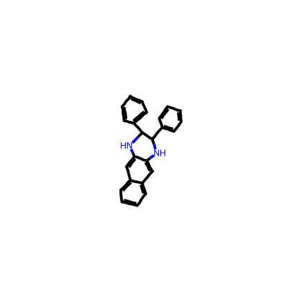 c1ccc(C2Nc3cc4ccccc4cc3NC2c2ccccc2)cc1